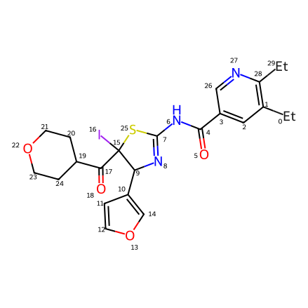 CCc1cc(C(=O)NC2=NC(c3ccoc3)C(I)(C(=O)C3CCOCC3)S2)cnc1CC